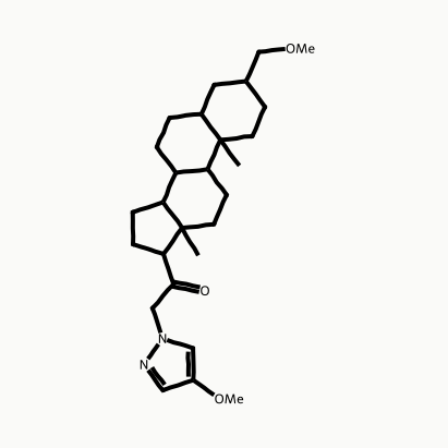 COCC1CCC2(C)C(CCC3C2CCC2(C)C(C(=O)Cn4cc(OC)cn4)CCC32)C1